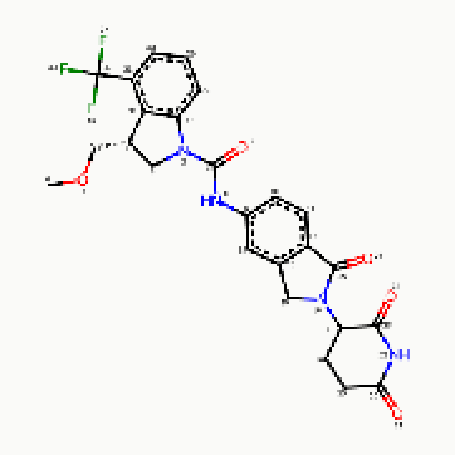 COC[C@H]1CN(C(=O)Nc2ccc3c(c2)CN(C2CCC(=O)NC2=O)C3=O)c2cccc(C(F)(F)F)c21